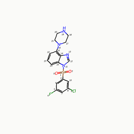 O=S(=O)(c1cc(F)cc(Cl)c1)n1cnc2c(N3CCNCC3)cccc21